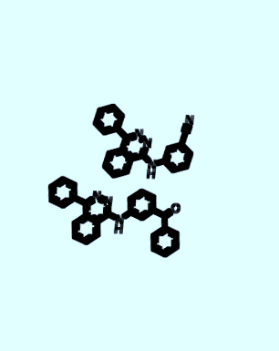 N#Cc1cccc(Nc2nnc(-c3ccccc3)c3ccccc23)c1.O=C(c1ccccc1)c1cccc(Nc2nnc(-c3ccccc3)c3ccccc23)c1